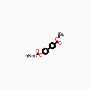 CCCCCCCCCC(=O)Oc1ccc(-c2ccc(C(=O)OCC(C)CC)cc2)cc1